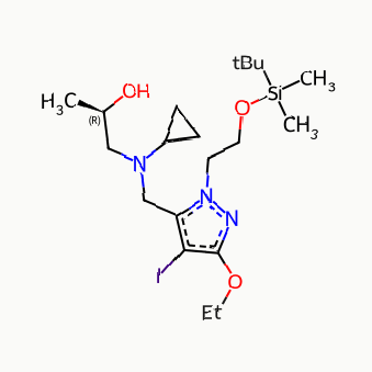 CCOc1nn(CCO[Si](C)(C)C(C)(C)C)c(CN(C[C@@H](C)O)C2CC2)c1I